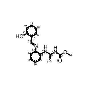 COC(=O)NC(=S)Nc1ccccc1/N=C/c1ccccc1O